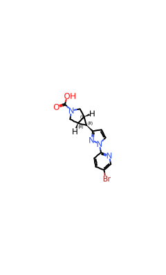 O=C(O)N1C[C@@H]2[C@H](C1)[C@H]2c1ccn(-c2ccc(Br)cn2)n1